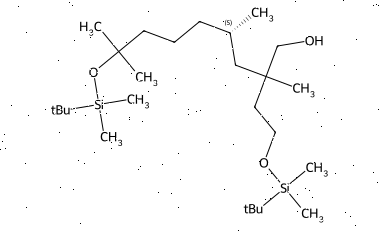 C[C@@H](CCCC(C)(C)O[Si](C)(C)C(C)(C)C)CC(C)(CO)CCO[Si](C)(C)C(C)(C)C